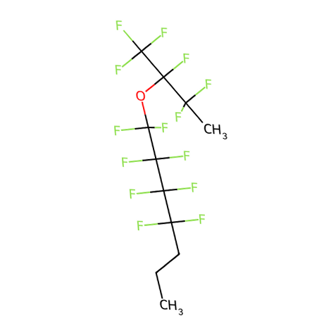 CCCC(F)(F)C(F)(F)C(F)(F)C(F)(F)OC(F)(C(C)(F)F)C(F)(F)F